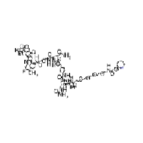 CC[C@@]1(O)C(=O)OCc2c1cc1n(c2=O)Cc2c-1nc1cc(F)c(C)c3c1c2[C@@H](NC(=O)COCNC(=O)[C@H](CCC(N)=O)NC(=O)OCc1ccc(NC(=O)[C@H](CCCNC(N)=O)NC(=O)[C@@H](NC(=O)CCOCCOCCOCCOCCNC(=O)COC2/C=C\CCCCC2)C(C)C)cc1)CC3